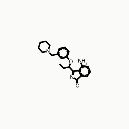 CCC(Oc1cccc(CN2CCCCC2)c1)C1=NC(=O)c2cccc(N)c21